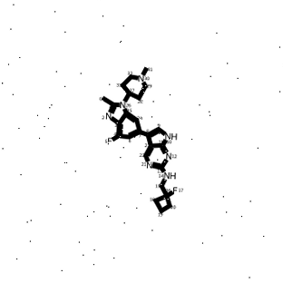 Cc1nc2c(F)cc(-c3c[nH]c4nc(NCC5(F)CCC5)ncc34)cc2n1C1CCN(C)CC1